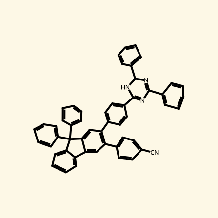 N#Cc1ccc(-c2cc3c(cc2-c2ccc(C4=NC(c5ccccc5)=NC(c5ccccc5)N4)cc2)C(c2ccccc2)(c2ccccc2)c2ccccc2-3)cc1